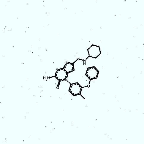 Cc1ccc(-n2c(=O)c(N)nc3sc(CNC4CCCCC4)cc32)cc1Oc1ccccc1